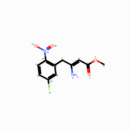 COC(=O)/C=C(\N)Cc1cc(F)ccc1[N+](=O)[O-]